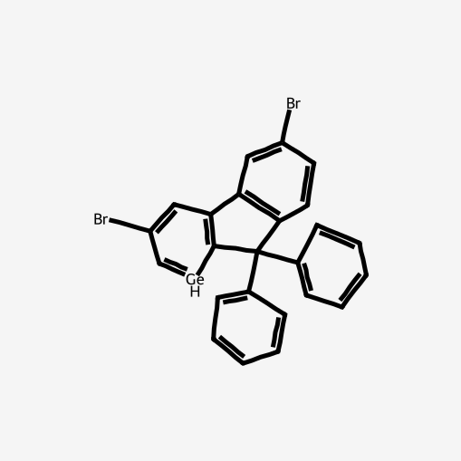 BrC1=CC2=[C]([GeH]=[CH]1)C(c1ccccc1)(c1ccccc1)c1ccc(Br)cc12